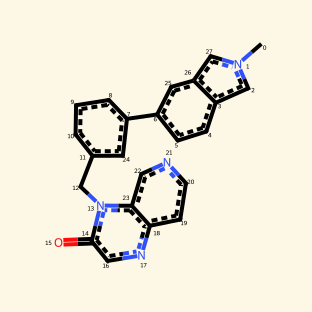 Cn1cc2ccc(-c3cccc(Cn4c(=O)cnc5ccncc54)c3)cc2c1